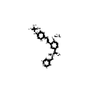 COc1ccc(C(=O)NCc2ccncc2)cc1C=Cc1ccc(OC(F)(F)F)cc1